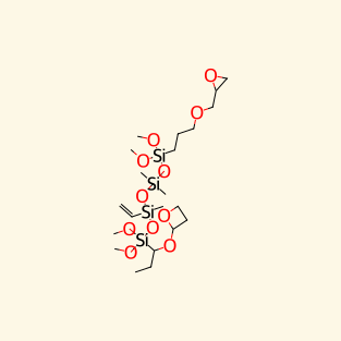 C=C[Si](C)(O[Si](C)(C)O[Si](CCCOCC1CO1)(OC)OC)O[Si](OC)(OC)C(CC)OC1CCO1